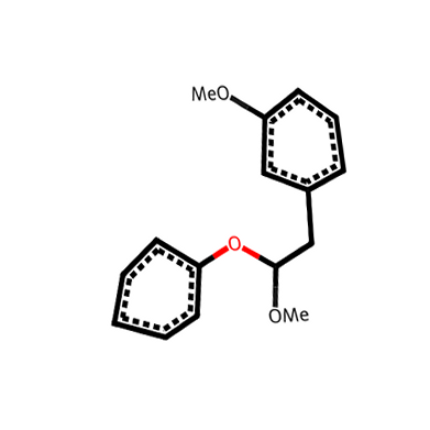 COc1cccc(CC(OC)Oc2ccccc2)c1